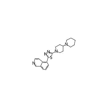 c1cc(-c2nnc(N3CCC(N4CCCCC4)CC3)s2)c2ccncc2c1